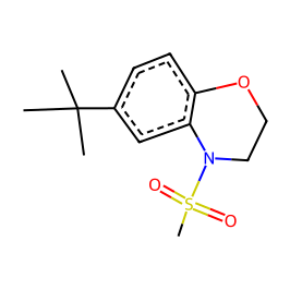 CC(C)(C)c1ccc2c(c1)N(S(C)(=O)=O)CCO2